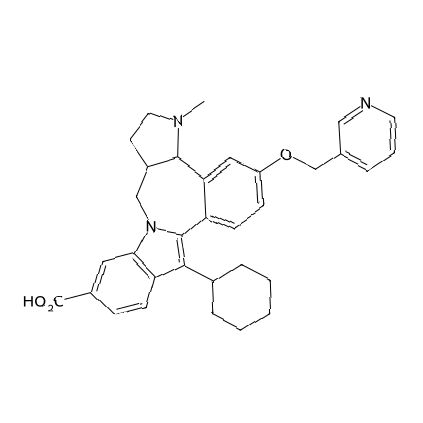 CN1CCC2Cn3c(c(C4CCCCC4)c4ccc(C(=O)O)cc43)-c3ccc(OCc4cccnc4)cc3C21